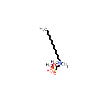 CCCCCCCCCCCCCC[N+](C)(C)CC(CS(=O)(=O)O)OC